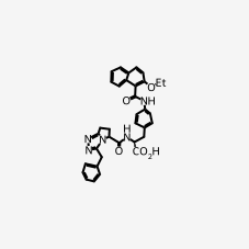 CCOc1ccc2ccccc2c1C(=O)Nc1ccc(C[C@H](NC(=O)C2CCc3nnc(Cc4ccccc4)n32)C(=O)O)cc1